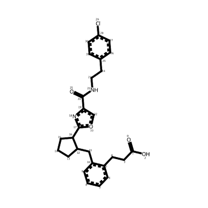 O=C(O)CCc1ccccc1CC1CCCC1c1nc(C(=O)NCCc2ccc(Cl)cc2)co1